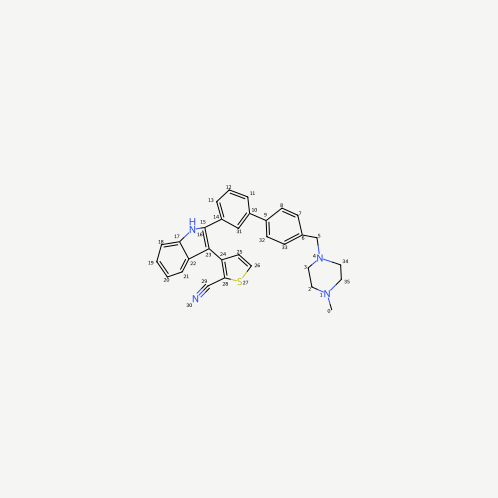 CN1CCN(Cc2ccc(-c3cccc(-c4[nH]c5ccccc5c4-c4ccsc4C#N)c3)cc2)CC1